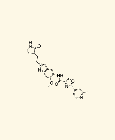 COc1cc2nn(CCC3CCNC3=O)cc2cc1NC(=O)c1coc(-c2ccnc(C)c2)n1